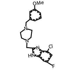 COc1cccc(CN2CCN(Cc3nc4c(Cl)cc(F)cc4[nH]3)CC2)c1